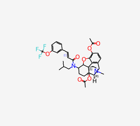 CC(=O)Oc1ccc2c3c1OC1C(N(CC(C)C)C(=O)/C=C/c4cccc(OC(F)(F)F)c4)CC[C@@]4(OC(C)=O)[C@@H](C2)N(C)CC[C@]314